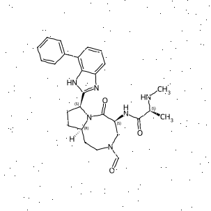 CN[C@@H](C)C(=O)N[C@H]1CN(C=O)CC[C@H]2CC[C@@H](c3nc4cccc(-c5ccccc5)c4[nH]3)N2C1=O